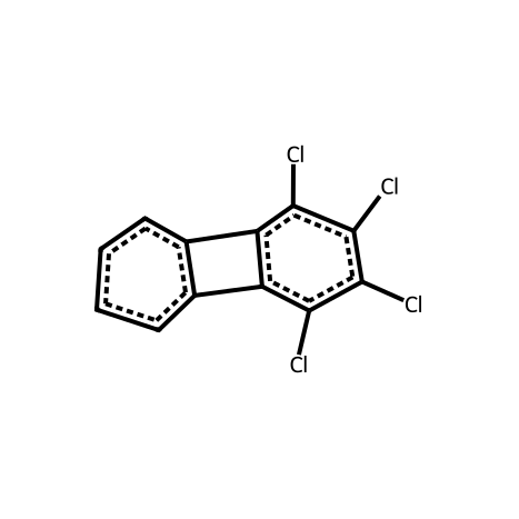 Clc1c(Cl)c(Cl)c2c(c1Cl)-c1ccccc1-2